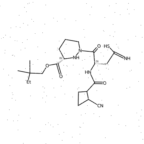 CCC(C)(C)COC(=O)[C@@H]1CCCN(C(=O)[C@H](CC(=N)S)NC(=O)C2CCC2C#N)N1